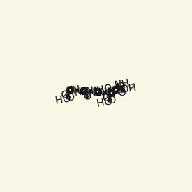 COc1cc(N=Nc2cccc(S(=O)(=O)O)c2)ccc1N=Nc1ccc(N=Nc2c(S(=O)(=O)O)cc3cc(S(=O)(=O)O)c(N)cc3c2O)cc1C